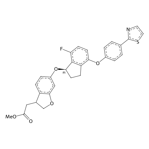 COC(=O)CC1COc2cc(O[C@@H]3CCc4c(Oc5ccc(-c6nccs6)cc5)ccc(F)c43)ccc21